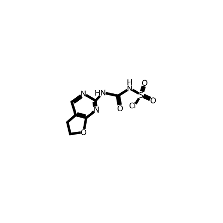 O=C(Nc1ncc2c(n1)OCC2)NS(=O)(=O)Cl